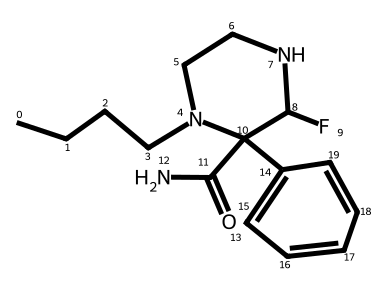 CCCCN1CCNC(F)C1(C(N)=O)c1ccccc1